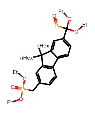 CCCCCCC1(CCCCCC)c2cc(CP(=O)(OCC)OCC)ccc2-c2ccc(C(OCC)(OCC)P=O)cc21